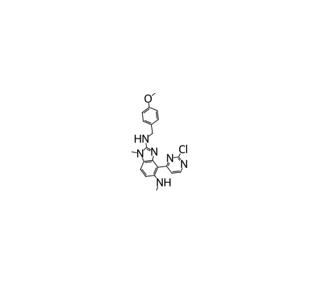 CNc1ccc2c(nc(NCc3ccc(OC)cc3)n2C)c1-c1ccnc(Cl)n1